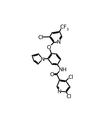 O=C(Nc1ccc(Oc2ncc(C(F)(F)F)cc2Cl)c(-n2cccc2)c1)c1cnc(Cl)cc1Cl